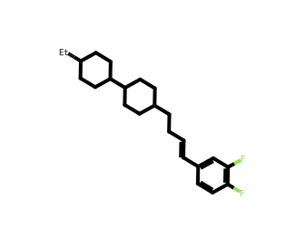 CCC1CCC(C2CCC(CCC=Cc3ccc(F)c(F)c3)CC2)CC1